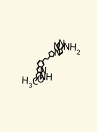 CC1Cc2cc3ccc(CCC4CCC(n5ccc6c(N)ncnc65)C4)cc3nc2NO1